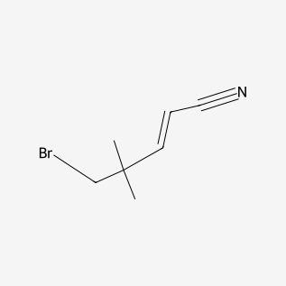 CC(C)(C=CC#N)CBr